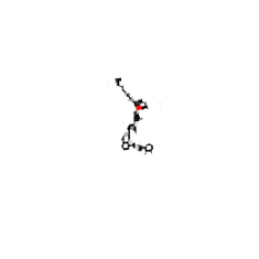 Cc1c(-c2ccc(N3CCc4cccc(C(=O)Nc5nc6ncccc6s5)c4C3)nc2C(=O)O)cnn1CC12CC3(C)CC(C)(C1)CC(OCCNCCCP(=O)(O)O)(C3)C2